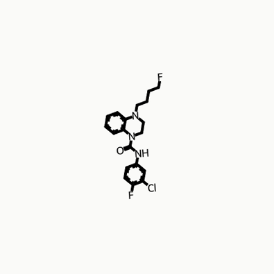 O=C(Nc1ccc(F)c(Cl)c1)N1CCN(CCCCF)c2ccccc21